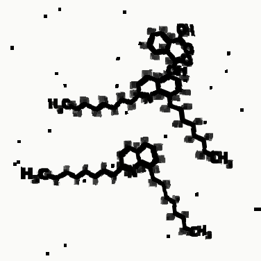 CCCCCCCCc1ccc2cccc(CCCCCCCC)c2n1.CCCCCCCCc1ccc2cccc(CCCCCCCC)c2n1.O=C(O)c1ccccc1C(=O)O